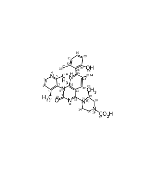 Cc1ccnc(C)c1-n1c(=O)nc(N2CCN(C(=O)O)C[C@@H]2C)c2cc(F)c(-c3c(O)cccc3F)nc21